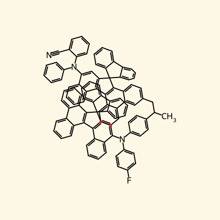 CC(Cc1ccc2c3c(c4ccccc4c2c1)-c1c(cc(N(c2ccccc2)c2ccccc2C#N)c2ccccc12)C31c2ccccc2-c2ccccc21)c1ccc(N(c2ccc(F)cc2)c2cc3c(c4ccccc24)-c2c(c4ccccc4c4ccccc24)C32c3ccccc3-c3ccccc32)cc1